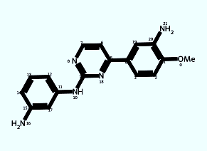 COc1ccc(-c2ccnc(Nc3cccc(N)c3)n2)cc1N